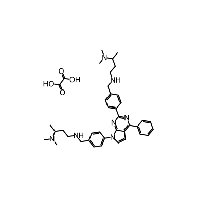 CC(CCNCc1ccc(-c2nc(-c3ccccc3)c3ccn(-c4ccc(CNCCC(C)N(C)C)cc4)c3n2)cc1)N(C)C.O=C(O)C(=O)O